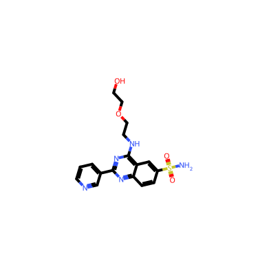 NS(=O)(=O)c1ccc2nc(-c3cccnc3)nc(NCCOCCO)c2c1